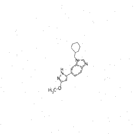 COc1cc(-c2ccc3ncn(CC4CCCCC4)c3c2)[nH]n1